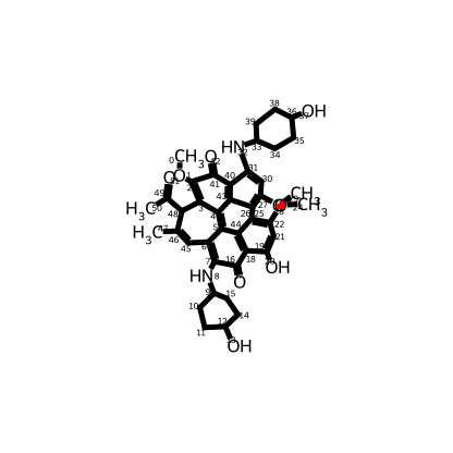 COc1c2c3c4c(c(NC5CCC(O)CC5)c(=O)c5c(O)cc(OC)c(c6c(OC)cc(NC7CCC(O)CC7)c(c1=O)c63)c54)C=C(C)C2C(C)=O